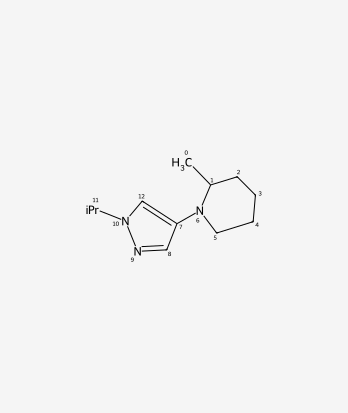 CC1CCCCN1c1cnn(C(C)C)c1